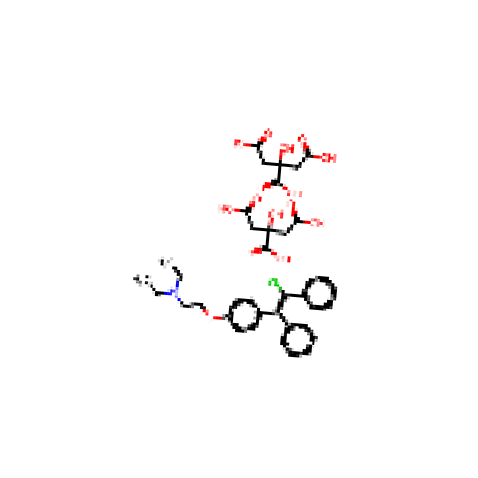 CCN(CC)CCOc1ccc(C(=C(Cl)c2ccccc2)c2ccccc2)cc1.O=C(O)CC(O)(CC(=O)O)C(=O)O.O=C(O)CC(O)(CC(=O)O)C(=O)O